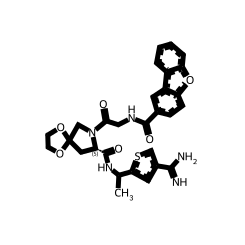 CC(NC(=O)[C@@H]1CC2(CN1C(=O)CNC(=O)c1ccc3oc4ccccc4c3c1)OCCO2)c1cc(C(=N)N)cs1